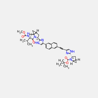 COC(=O)N[C@H](C(=O)N1[C@@H]2C[C@@H]2C[C@H]1c1nc(-c2ccc3cc(C#Cc4c[nH]c([C@@H]5C[C@H]6C[C@H]6N5C(=O)OC(C)(C)C)n4)ccc3c2)c[nH]1)C(C)C